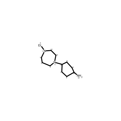 CCN1CCCN(C2CCC(N)CC2)CC1